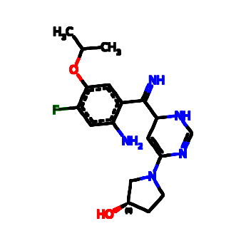 CC(C)Oc1cc(C(=N)C2C=C(N3CC[C@@H](O)C3)N=CN2)c(N)cc1F